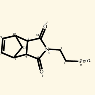 CCCC(C)CCN1C(=O)C2C3C=CC(C3)C2C1=O